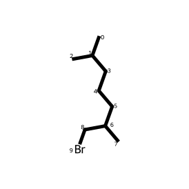 CC(C)CCCC(C)CBr